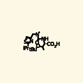 CC(C)c1nc(CN(C)C(=O)N[C@H](C(=O)O)C(C)OC(C)(C)C)cs1